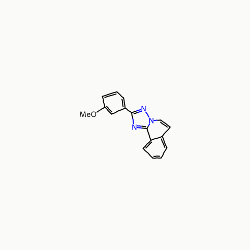 COc1cccc(-c2nc3c4ccccc4ccn3n2)c1